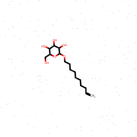 C=CCCCCCCCCOC1OC(CO)C(O)C(O)C1O